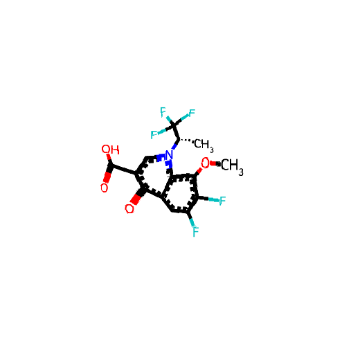 COc1c(F)c(F)cc2c(=O)c(C(=O)O)cn([C@@H](C)C(F)(F)F)c12